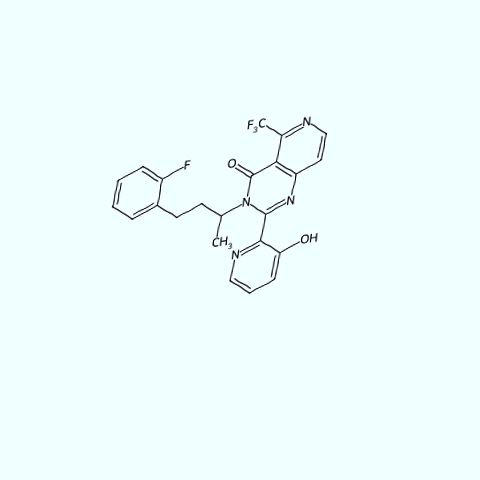 CC(CCc1ccccc1F)n1c(-c2ncccc2O)nc2ccnc(C(F)(F)F)c2c1=O